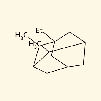 CCC12CC3CC(C1)C(C)C(C3)C2C